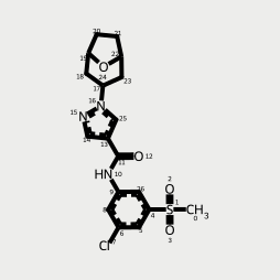 CS(=O)(=O)c1cc(Cl)cc(NC(=O)c2cnn(C3CC4CCC(C3)O4)c2)c1